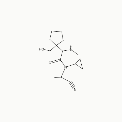 CNC(C(=O)N(C(C)C#N)C1CC1)C1(CO)CCCC1